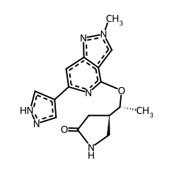 C[C@@H](Oc1nc(-c2cn[nH]c2)cc2nn(C)cc12)[C@H]1CNC(=O)C1